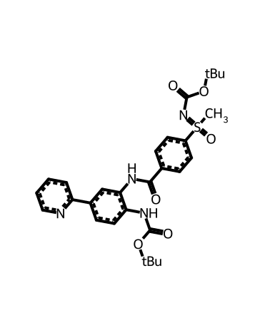 CC(C)(C)OC(=O)N=S(C)(=O)c1ccc(C(=O)Nc2cc(-c3ccccn3)ccc2NC(=O)OC(C)(C)C)cc1